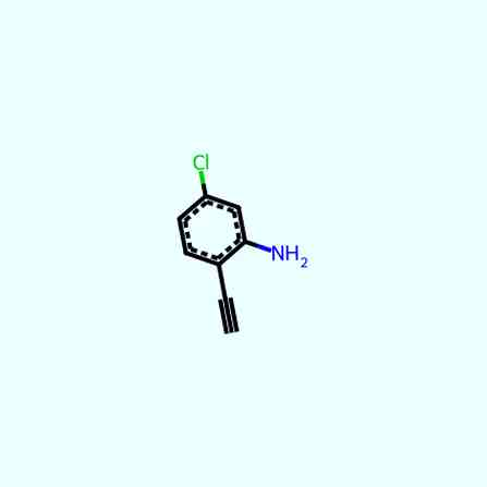 C#Cc1ccc(Cl)cc1N